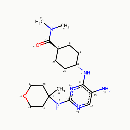 CN(C)C(=O)[C@H]1CC[C@H](Nc2nc(NC3(C)CCOCC3)ncc2N)CC1